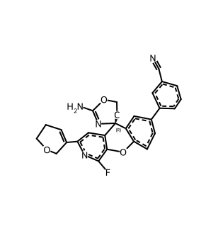 N#Cc1cccc(-c2ccc3c(c2)[C@]2(CCOC(N)=N2)c2cc(C4=CCCOC4)nc(F)c2O3)c1